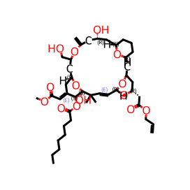 C=CCOC(=O)C[C@H]1CC2C[C@H]3CCC[C@@H](C[C@@H](O)CC(=C)OC(CO)C[C@@H]4C/C(=C\C(=O)OC)[C@H](OC(=O)CCCCCCC)[C@@](O)(O4)C(C)(C)/C=C/[C@H](O2)O1)O3